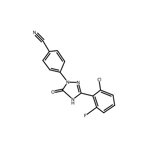 N#Cc1ccc(-n2nc(-c3c(F)cccc3Cl)[nH]c2=O)cc1